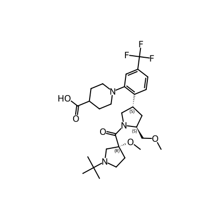 COC[C@@H]1C[C@@H](c2ccc(C(F)(F)F)cc2N2CCC(C(=O)O)CC2)CN1C(=O)[C@@]1(OC)CCN(C(C)(C)C)C1